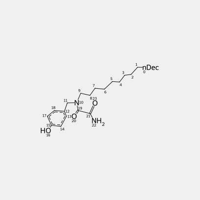 CCCCCCCCCCCCCCCCCCCN(Cc1ccc(O)cc1)C(=O)C(N)=O